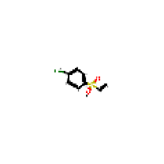 C=CS(=O)(=O)c1ccc(Cl)cc1